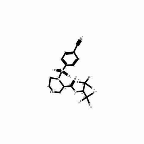 N#Cc1ccc(S(=O)(=O)N2CCNCC2C(=O)OC(C(F)(F)F)C(F)(F)F)cc1